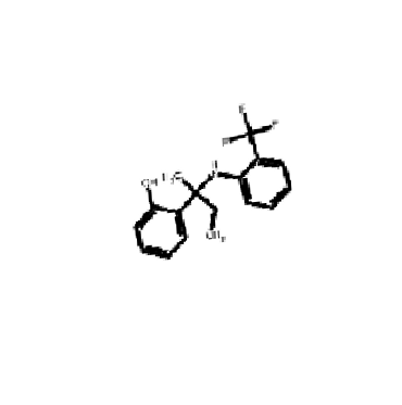 CCC(C)(Pc1ccccc1C(F)(F)F)c1ccccc1O